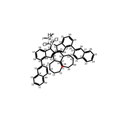 C[SiH](C)[Zr]([Cl])([Cl])([CH]1C(CC2CCCCCC2)=Cc2c(-c3ccc4ccccc4c3)cccc21)[CH]1C(CC2CCCCCC2)=Cc2c(-c3ccc4ccccc4c3)cccc21